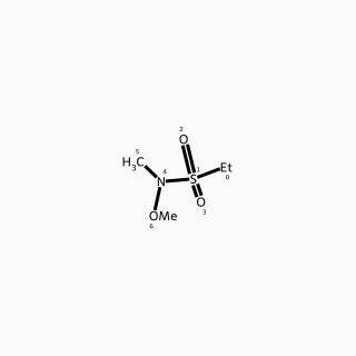 CCS(=O)(=O)N(C)OC